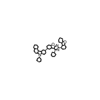 c1ccc(-c2nc(-c3cccc4oc5ccccc5c34)nc3oc4ccc(-c5ccc6c(c5)c5c7ccccc7ccc5n6-c5ccccc5)cc4c23)cc1